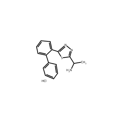 CC(N)c1nnc(-c2ccccc2-c2ccccc2)s1.Cl